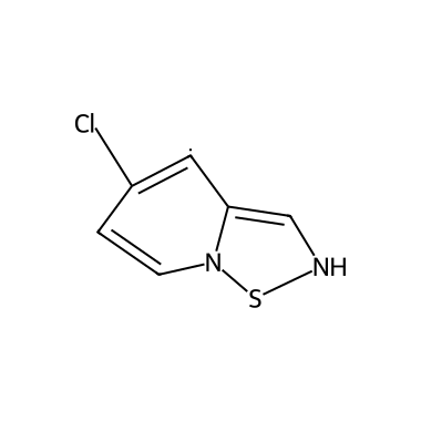 ClC1=[C]C2=CNSN2C=C1